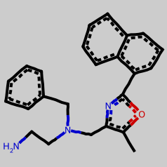 Cc1oc(-c2cccc3ccccc23)nc1CN(CCN)Cc1ccccc1